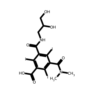 CN(C)C(=O)c1c(I)c(C(=O)O)c(I)c(C(=O)NCC(O)CO)c1I